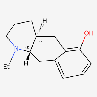 CCN1CCC[C@H]2Cc3c(O)cccc3C[C@@H]21